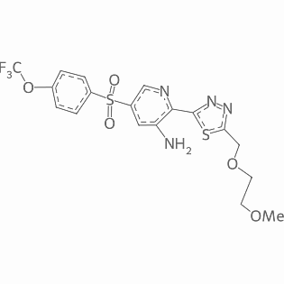 COCCOCc1nnc(-c2ncc(S(=O)(=O)c3ccc(OC(F)(F)F)cc3)cc2N)s1